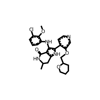 COc1c(Cl)cccc1Nc1c(-c2ccncc2OCC2CCCCO2)[nH]c2c1C(=O)NC(C)C2